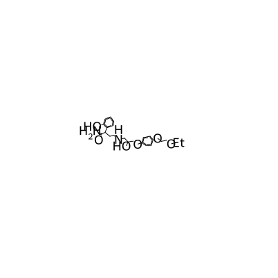 CCOCCOc1ccc(OCC(O)CNCCC(C(N)=O)c2ccccc2O)cc1